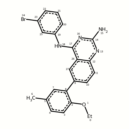 CCOc1ccc(C)cc1-c1ccc2nc(N)nc(Nc3cccc(Br)c3)c2c1